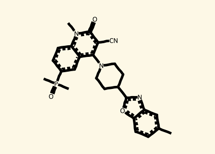 Cc1ccc2oc(C3CCN(c4c(C#N)c(=O)n(C)c5ccc(P(C)(C)=O)cc45)CC3)nc2c1